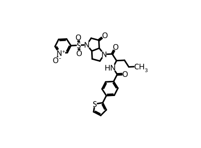 CCCC(NC(=O)c1ccc(-c2cccs2)cc1)C(=O)N1CCC2C1C(=O)CN2S(=O)(=O)c1ccc[n+]([O-])c1